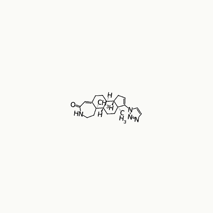 C[C@]12CCNC(=O)C=C1CC[C@@H]1[C@@H]2CC[C@]2(C)C(n3ccnn3)=CC[C@@H]12